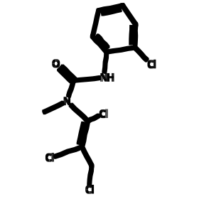 CN(C(=O)Nc1ccccc1Cl)C(Cl)=C(Cl)CCl